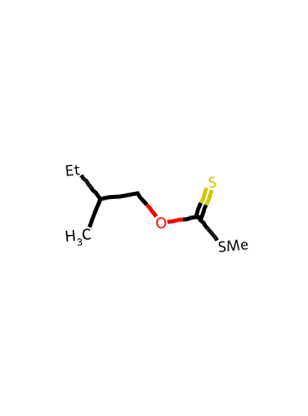 CCC(C)COC(=S)SC